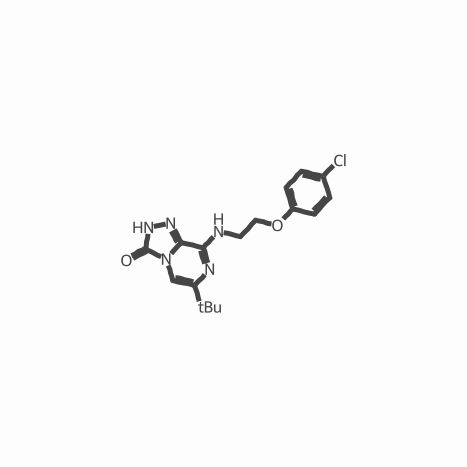 CC(C)(C)c1cn2c(=O)[nH]nc2c(NCCOc2ccc(Cl)cc2)n1